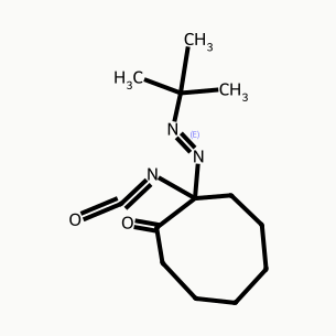 CC(C)(C)/N=N/C1(N=C=O)CCCCCCC1=O